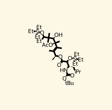 CCC(O[Si](CC)(CC)CC)C(C)(C)[C@@H](O)[C@@](C)(OC(C)=O)/C(C)=C(\C)[C@H](C)OC(=O)C(O[Si](CC)(CC)CC)[C@H](CC(C)C)NC(=O)OC(C)(C)C